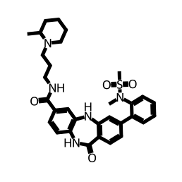 CC1CCCCN1CCCNC(=O)c1ccc2c(c1)Nc1cc(-c3ccccc3N(C)S(C)(=O)=O)ccc1C(=O)N2